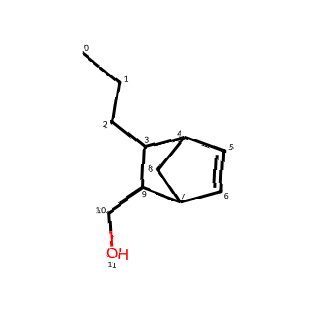 CCCC1C2C=CC(C2)C1CO